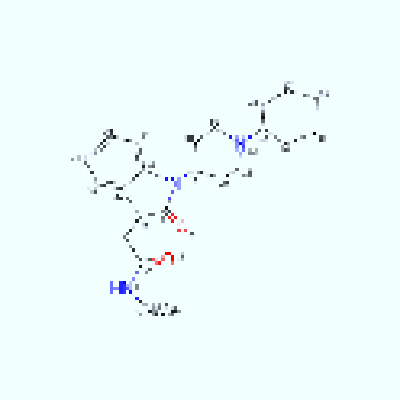 CNNC(=O)CC1C(=O)N(C2CCN(C3CCCCC3)CC2)c2ccccc21